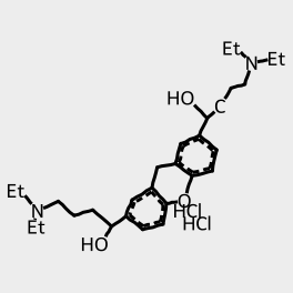 CCN(CC)CCCC(O)c1ccc2c(c1)Cc1cc(C(O)CCCN(CC)CC)ccc1O2.Cl.Cl